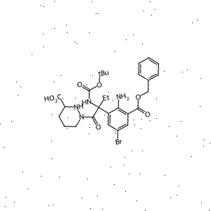 CCC(NC(=O)OC(C)(C)C)(C(=O)N1CCCC(C(=O)O)N1)c1cc(Br)cc(C(=O)OCc2ccccc2)c1N